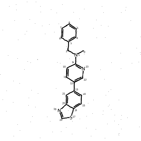 CN(Cc1ccccc1)c1ccc(-c2ccc3scnc3c2)cn1